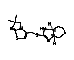 CC1(C)CN2C(CSC3=N[C@H]4CCCC[C@@H]4N3)=CSC2=N1